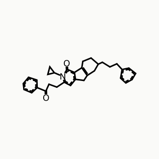 O=C(CCc1cc2c(c(=O)n1C1CC1)C1=C(C2)CC(CCCc2ccccc2)CC1)c1ccccc1